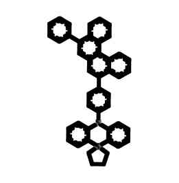 c1ccc(-c2cc3cc(-c4ccc(N5c6ccccc6[Si]6(CCCC6)c6ccccc65)cc4)c4ccccc4c3c3ccccc23)cc1